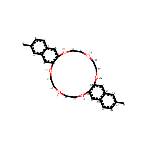 Cc1ccc2cc3c(cc2c1)OCCOCCOc1cc2ccc(C)cc2cc1OCCOCCO3